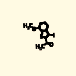 COc1cccc2c(I)c(C(C)=O)sc12